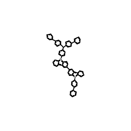 c1ccc(-c2ccc(C(c3ccc(-c4ccccc4)cc3)c3ccc(-n4c5ccccc5c5cc(-c6ccc7c(c6)c6ccccc6n7-c6ccc(-c7ccccc7)cc6)ccc54)cc3)cc2)cc1